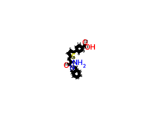 NC(Cc1ccc(-c2ccc(C(=O)O)cc2)s1)C(=O)N1Cc2ccccc2C1